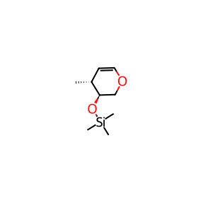 C[C@@H]1C=COC[C@H]1O[Si](C)(C)C